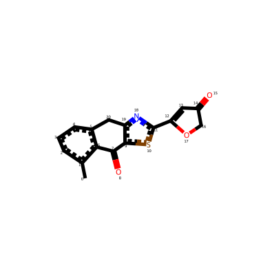 Cc1cccc2c1C(=O)c1sc(C3=CC(=O)CO3)nc1C2